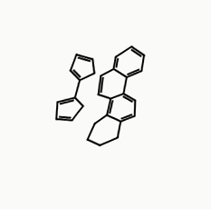 C1=CCC(C2=CC=CC2)=C1.c1ccc2c(c1)ccc1c3c(ccc12)CCCC3